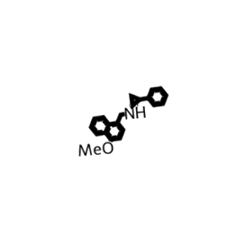 COc1ccc(CN[C@H]2CC2c2ccccc2)c2ccccc12